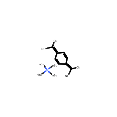 CCCC[N+](CCCC)(CCCC)CCCC.N#CC(C#N)=c1ccc(=C(C#N)C#N)cc1